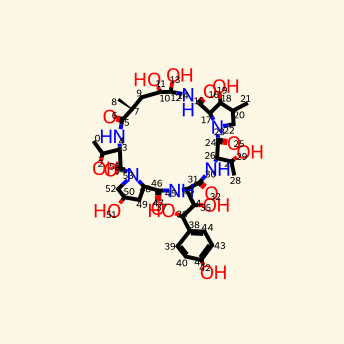 CC(O)C1NC(=O)[C@@H](C)CC(O)C(O)NC(=O)C2C(O)C(C)CN2C(=O)C(C(C)O)NC(=O)C(C(O)C(O)c2ccc(O)cc2)NC(=O)C2CC(O)CN2C1=O